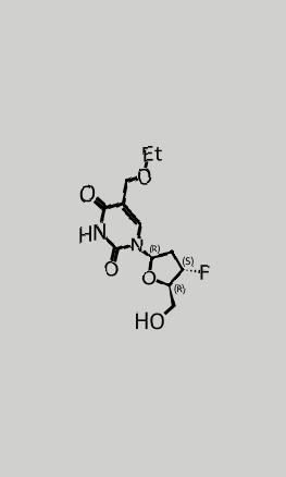 CCOCc1cn([C@H]2C[C@H](F)[C@@H](CO)O2)c(=O)[nH]c1=O